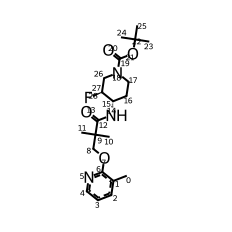 Cc1cccnc1OCC(C)(C)C(=O)N[C@H]1CCN(C(=O)OC(C)(C)C)C[C@@H]1F